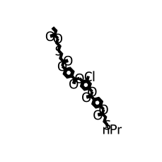 C=CC(=O)OCCSCCC(=O)Oc1ccc(C(=O)Oc2ccc(OC(=O)c3ccc(OC(=O)CCSCCC)cc3)cc2Cl)cc1